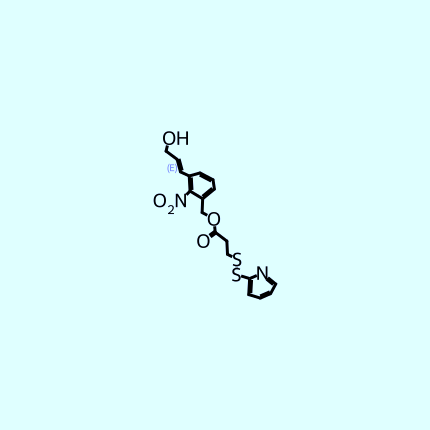 O=C(CCSSc1ccccn1)OCc1cccc(/C=C/CO)c1[N+](=O)[O-]